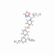 CCCCOc1ccc(C)cc1-c1ccc(COc2ccc([C@@H](CC(=O)O)c3ncco3)cc2)cc1